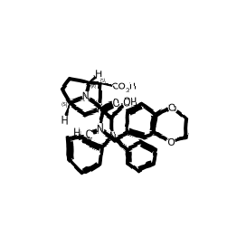 CN(Cc1ccc2c(c1)OCCO2)C(=O)N1[C@H]2CC[C@@H]1[C@@H](C(=O)O)N(C(O)N(c1ccccc1)c1ccccc1)C2